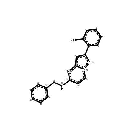 Fc1ccccc1-c1cc2nc(NCc3ccccc3)ccn2n1